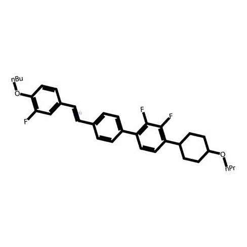 CCCCOc1ccc(/C=C/c2ccc(-c3ccc(C4CCC(OCCC)CC4)c(F)c3F)cc2)cc1F